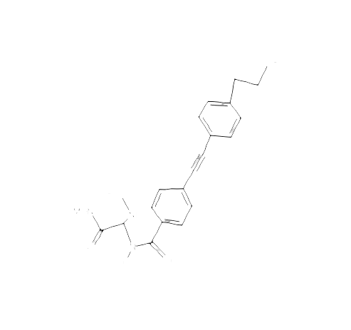 CNC(=O)C(NC=O)N(C)C(=O)c1ccc(C#Cc2ccc(CCC(C)C)cc2)cc1